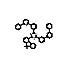 CC1(C)c2ccccc2-c2c(-c3nc(-c4cccc(-c5cccc(-c6ccccc6)n5)c4)nc(-c4cccc(-c5cccc(-c6ccccc6)n5)c4)n3)cccc21